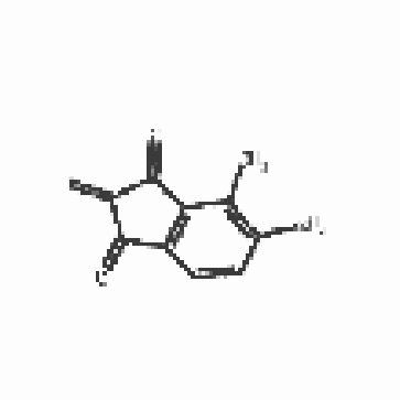 Bc1ccc2c(c1B)C(=O)C(=C)C2=O